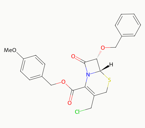 COc1ccc(COC(=O)C2=C(CCl)CS[C@H]3[C@@H](OCc4ccccc4)C(=O)N23)cc1